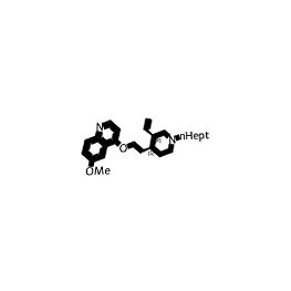 C=C[C@H]1CN(CCCCCCC)CC[C@H]1CCOc1ccnc2ccc(OC)cc12